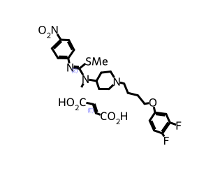 CS/C(=N\c1ccc([N+](=O)[O-])cc1)N(C)C1CCN(CCCCOc2ccc(F)c(F)c2)CC1.O=C(O)/C=C/C(=O)O